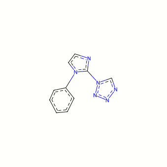 c1ccc(-n2ccnc2-n2cnnn2)cc1